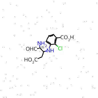 N[C@H](C=O)C(CC(=O)O)Nc1cccc(C(=O)O)c1Cl